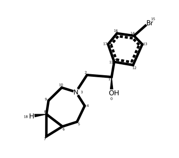 O[C@@H](CN1CCC2C[C@@H]2CC1)c1ccc(Br)cc1